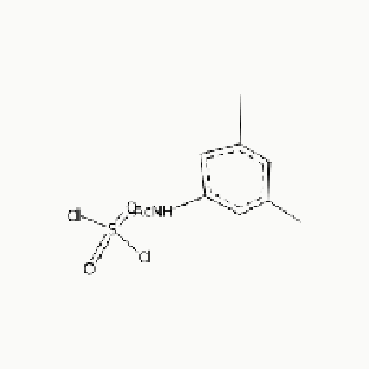 CC(=O)Nc1cc(C)cc(C)c1.O=S(=O)(Cl)Cl